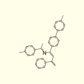 C=C(/C=C(\N=C(/C)c1ccc(C)cc1)c1ccc(-c2ccc(C)cc2)cc1)c1ccccc1